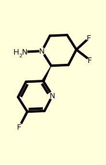 NN1CCC(F)(F)C[C@H]1c1ccc(F)cn1